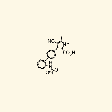 CC1=C(C#N)C(c2ccc(-c3ccccc3NS(C)(=O)=O)cc2)C(C(=O)O)N1C